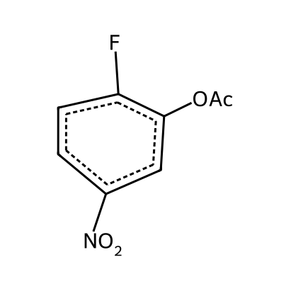 CC(=O)Oc1cc([N+](=O)[O-])ccc1F